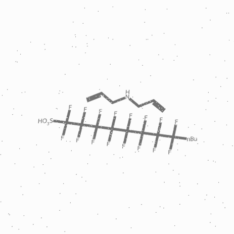 C=CCNCC=C.CCCCC(F)(F)C(F)(F)C(F)(F)C(F)(F)C(F)(F)C(F)(F)C(F)(F)C(F)(F)S(=O)(=O)O